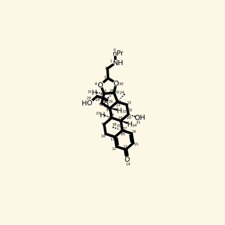 CCCNCC1O[C@@H]2C[C@H]3[C@@H]4CCC5=CC(=O)C=C[C@]5(C)[C@H]4[C@@H](O)C[C@]3(C)[C@]2(C(=O)CO)O1